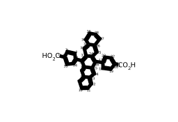 O=C(O)c1ccc(-c2c3cc4ccccc4cc3c(-c3ccc(C(=O)O)cc3)c3cc4ccccc4cc23)cc1